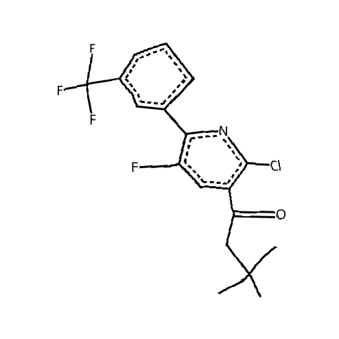 CC(C)(C)CC(=O)c1cc(F)c(-c2cccc(C(F)(F)F)c2)nc1Cl